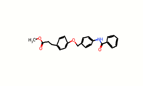 COC(=O)CCc1ccc(OCc2ccc(NC(=O)c3ccccc3)cc2)cc1